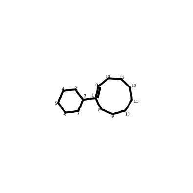 C1=C(C2CCCCC2)CCCCCCC1